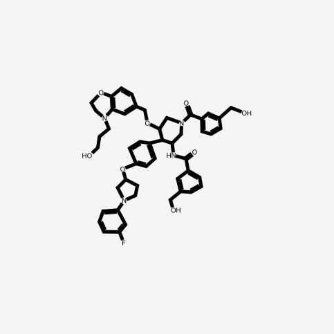 O=C(NC1CN(C(=O)c2cccc(CO)c2)CC(OCc2ccc3c(c2)N(CCCO)CCO3)C1c1ccc(OC2CCN(c3cccc(F)c3)C2)cc1)c1cccc(CO)c1